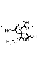 O=C(O)CC(CC(=O)O)(OC(=O)O)C(=O)O.[CaH2]